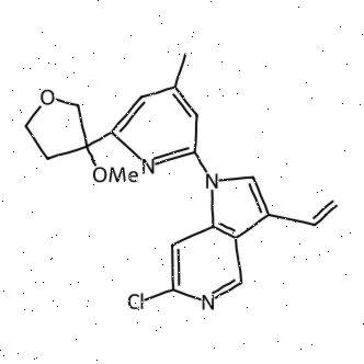 C=Cc1cn(-c2cc(C)cc(C3(OC)CCOC3)n2)c2cc(Cl)ncc12